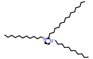 CCCCCCCCCCCCCCc1n(CCCCCCCCCCC)cc[n+]1CCCCCCCCCCC